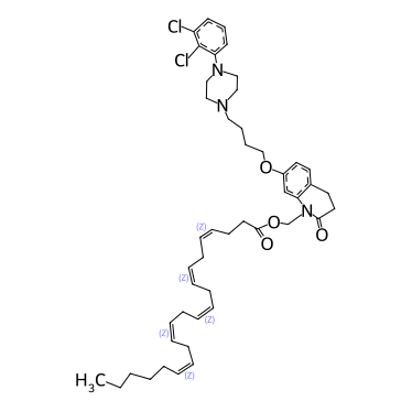 CCCCC/C=C\C/C=C\C/C=C\C/C=C\C/C=C\CCC(=O)OCN1C(=O)CCc2ccc(OCCCCN3CCN(c4cccc(Cl)c4Cl)CC3)cc21